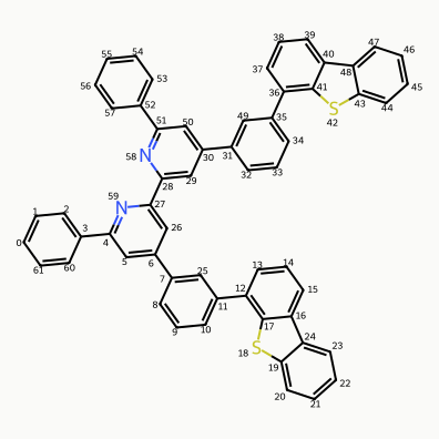 c1ccc(-c2cc(-c3cccc(-c4cccc5c4sc4ccccc45)c3)cc(-c3cc(-c4cccc(-c5cccc6c5sc5ccccc56)c4)cc(-c4ccccc4)n3)n2)cc1